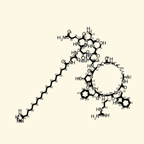 CCCC[C@H](NC(=O)[C@H](CO)NC(=O)[C@H](CN)NC(=O)[C@H](CCC(N)=O)NC(=O)[C@@H](NC(=O)CNC(=O)CCCCCCCCCCCCCCCCCc1nnn[nH]1)[C@@H](C)O)C(=O)N[C@H]1CCC(=O)NCCCC[C@@H](C(C)=O)NC(=O)[C@H](Cc2c[nH]c3ccccc23)NC(=O)[C@H](CCCNC(=N)N)NC(=O)[C@@H](Cc2ccccc2)NC(=O)[C@@H]2C[C@@H](O)CN2C1=O